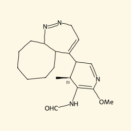 COC1=C(NC=O)[C@@H](C)C(C2=CCN=NC3CCCCCCC23)C=N1